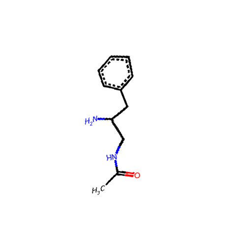 CC(=O)NCC(N)Cc1ccccc1